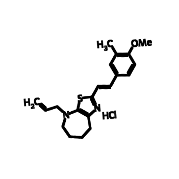 C=CCN1CCCCc2nc(C=Cc3ccc(OC)c(C)c3)sc21.Cl